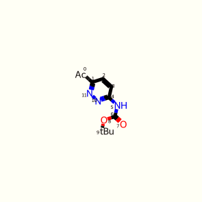 CC(=O)c1ccc(NC(=O)OC(C)(C)C)nn1